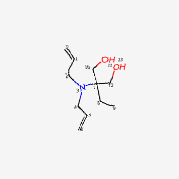 C=CCN(CC=C)C(CC)(CO)CO